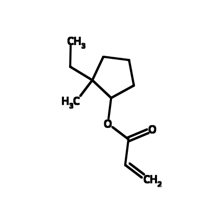 C=CC(=O)OC1CCCC1(C)CC